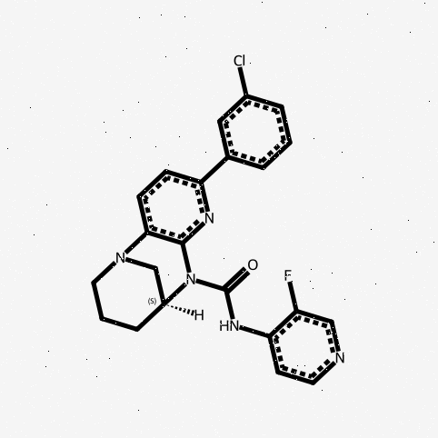 O=C(Nc1ccncc1F)N1c2nc(-c3cccc(Cl)c3)ccc2N2CCC[C@H]1C2